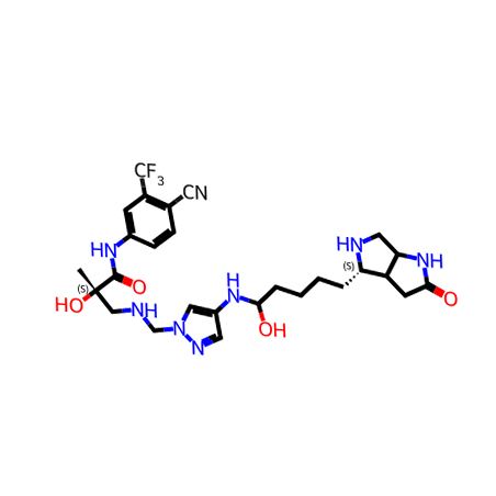 C[C@](O)(CNCn1cc(NC(O)CCCC[C@@H]2NCC3NC(=O)CC32)cn1)C(=O)Nc1ccc(C#N)c(C(F)(F)F)c1